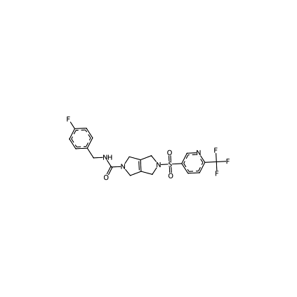 O=C(NCc1ccc(F)cc1)N1CC2=C(C1)CN(S(=O)(=O)c1ccc(C(F)(F)F)nc1)C2